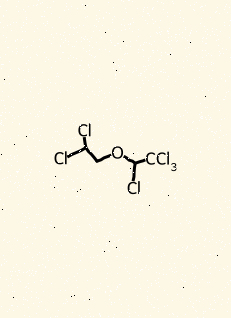 ClC(Cl)COC(Cl)C(Cl)(Cl)Cl